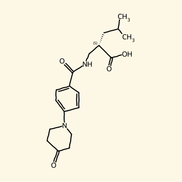 CC(C)C[C@@H](CNC(=O)c1ccc(N2CCC(=O)CC2)cc1)C(=O)O